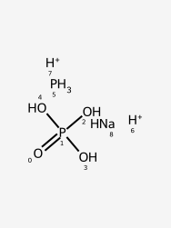 O=P(O)(O)O.P.[H+].[H+].[NaH]